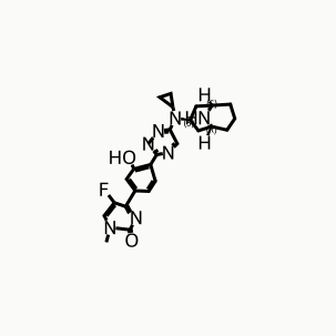 Cn1cc(F)c(-c2ccc(-c3ncc(N(C4CC4)[C@@H]4C[C@H]5CCC[C@@H](C4)N5)nn3)c(O)c2)nc1=O